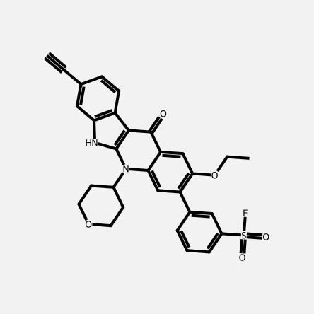 C#Cc1ccc2c(c1)[nH]c1c2c(=O)c2cc(OCC)c(-c3cccc(S(=O)(=O)F)c3)cc2n1C1CCOCC1